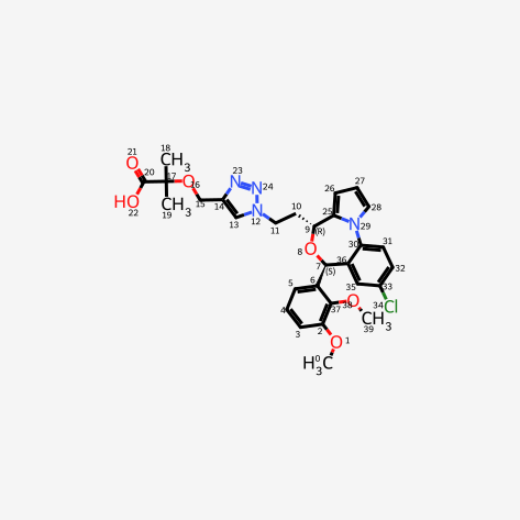 COc1cccc([C@H]2O[C@H](CCn3cc(COC(C)(C)C(=O)O)nn3)c3cccn3-c3ccc(Cl)cc32)c1OC